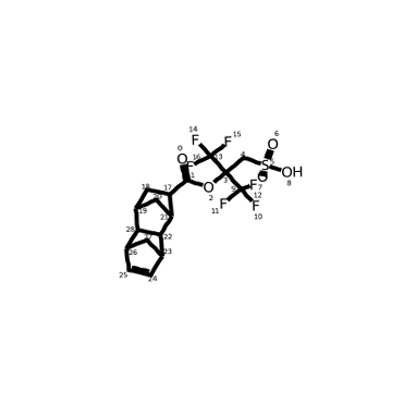 O=C(OC(CS(=O)(=O)O)(C(F)(F)F)C(F)(F)F)C1CC2CC1C1C3C=CC(C3)C21